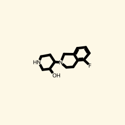 OC1CNCCC1N1CCc2c(F)cccc2C1